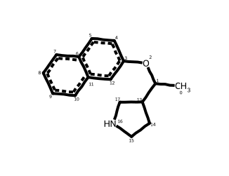 CC(Oc1ccc2ccccc2c1)C1CCNC1